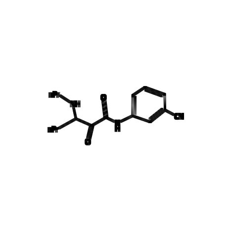 CCCNC(CCC)C(=O)C(=O)Nc1cccc(C#N)c1